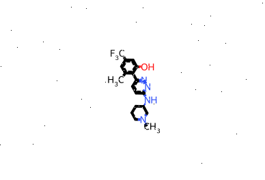 Cc1cc(C(F)(F)F)cc(O)c1-c1ccc(N[C@@H]2CCCN(C)C2)nn1